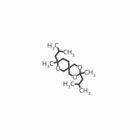 CC(C)CC1(C)CCC2(CO1)COC(C)(CC(C)C)OC2